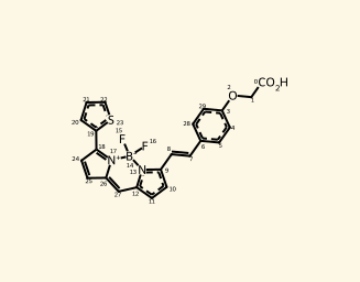 O=C(O)COc1ccc(/C=C/c2ccc3n2[B-](F)(F)[N+]2=C(c4cccs4)C=CC2=C3)cc1